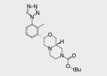 Cc1c([C@H]2CN3CCN(C(=O)OC(C)(C)C)C[C@H]3CO2)cccc1-n1cnnn1